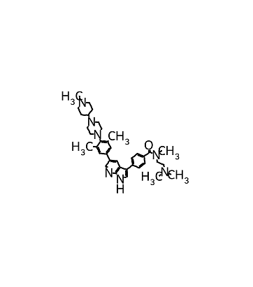 Cc1cc(-c2cnc3[nH]cc(-c4ccc(C(=O)N(C)CCN(C)C)cc4)c3c2)cc(C)c1N1CCN(C2CCN(C)CC2)CC1